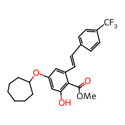 COC(=O)c1c(O)cc(OC2CCCCCC2)cc1C=Cc1ccc(C(F)(F)F)cc1